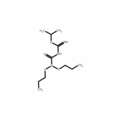 CCCSN(SCCC)C(=O)NC(=N)OC(C)C